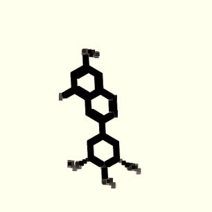 COc1cc(F)c2cc(C3C[C@@H](C)N(C)[C@@H](C)C3)nnc2c1